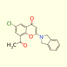 CC(=O)c1cc(Cl)cc2c(=O)cc(N3Cc4ccccc4C3)oc12